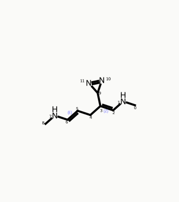 CN/C=C(/C/C=C/NC)C1N=N1